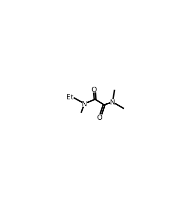 CCN(C)C(=O)C(=O)N(C)C